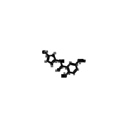 COc1ccc(O)c(C(=O)Nc2ncc(Cl)s2)c1